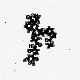 CC(C)(C)OC(=O)n1ccc2ccccc21.COC(=O)[C@@H](Cc1c(C(C)(C)C)n(C(=O)O)c2ccccc12)n1nncc1-c1cncc(C(=O)N[C@@H]2CCN([C@@H](CC(C)C)C(=O)OC)C2=O)c1